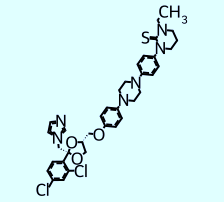 CCN1CCCN(c2ccc(N3CCN(c4ccc(OC[C@@H]5CO[C@@](Cn6ccnc6)(c6ccc(Cl)cc6Cl)O5)cc4)CC3)cc2)C1=S